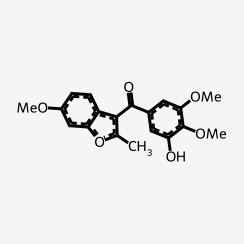 COc1ccc2c(C(=O)c3cc(O)c(OC)c(OC)c3)c(C)oc2c1